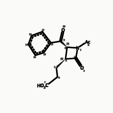 CC(=O)N1C(=O)[C@H](CCC(=O)O)[C@@H]1C(=O)c1ccccc1